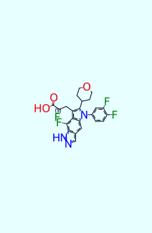 O=C(O)[C@@H](F)Cc1c(C2CCOCC2)n(-c2ccc(F)c(F)c2)c2cc3cn[nH]c3c(F)c12